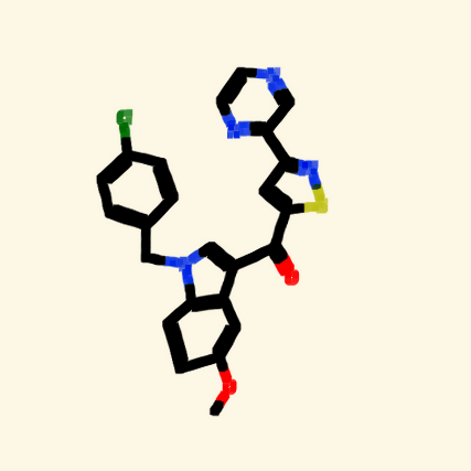 COc1ccc2c(c1)c(C(=O)c1cc(-c3cnccn3)ns1)cn2Cc1ccc(Cl)cc1